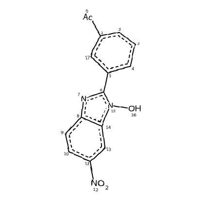 CC(=O)c1cccc(-c2nc3ccc([N+](=O)[O-])cc3n2O)c1